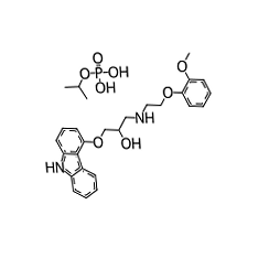 CC(C)OP(=O)(O)O.COc1ccccc1OCCNCC(O)COc1cccc2[nH]c3ccccc3c12